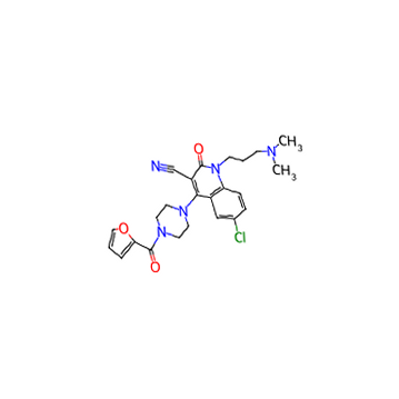 CN(C)CCCn1c(=O)c(C#N)c(N2CCN(C(=O)c3ccco3)CC2)c2cc(Cl)ccc21